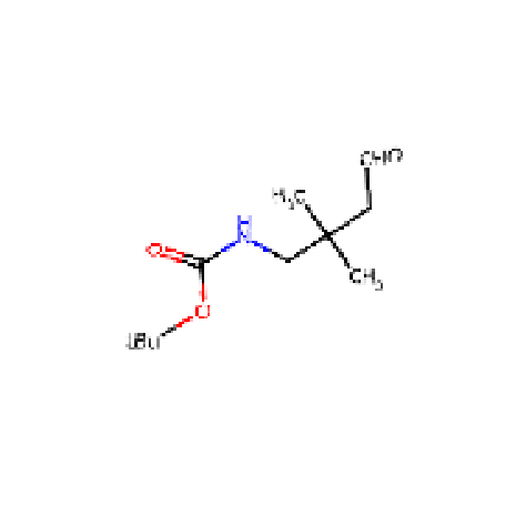 CC(C)(CC=O)CNC(=O)OC(C)(C)C